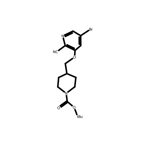 CC(C)(C)OC(=O)N1CCC(COc2cc(Br)cnc2C#N)CC1